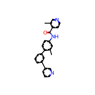 Cc1cnccc1C(=O)Nc1ccc(-c2cccc(-c3cccnc3)c2)c(C)c1